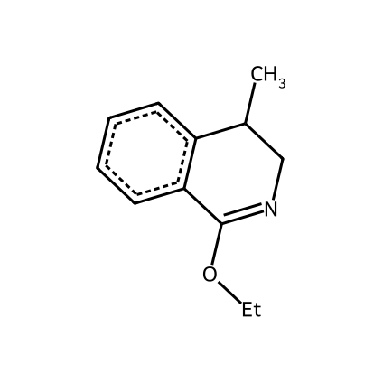 CCOC1=NCC(C)c2ccccc21